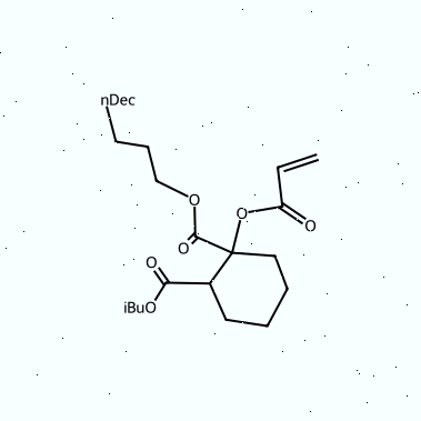 C=CC(=O)OC1(C(=O)OCCCCCCCCCCCCC)CCCCC1C(=O)OCC(C)C